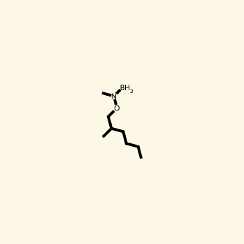 BN(C)OCC(C)CCCC